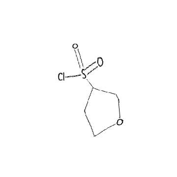 O=S(=O)(Cl)C1CCOC1